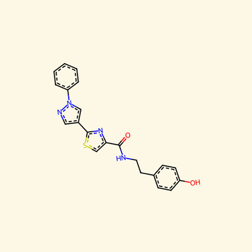 O=C(NCCc1ccc(O)cc1)c1csc(-c2cnn(-c3ccccc3)c2)n1